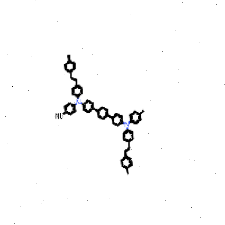 Cc1ccc(/C=C/c2ccc(N(c3ccc(C)cc3)c3ccc(-c4ccc(-c5ccc(N(c6cc[c]([Nb])cc6)c6ccc(/C=C/c7ccc(C)cc7)cc6)cc5)cc4)cc3)cc2)cc1